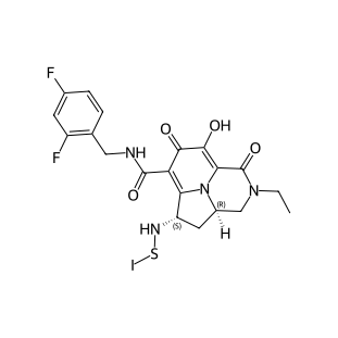 CCN1C[C@H]2C[C@H](NSI)c3c(C(=O)NCc4ccc(F)cc4F)c(=O)c(O)c(n32)C1=O